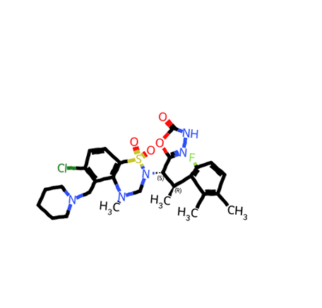 Cc1ccc(F)c([C@@H](C)[C@@H](c2n[nH]c(=O)o2)N2CN(C)c3c(ccc(Cl)c3CN3CCCCC3)S2(=O)=O)c1C